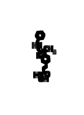 Cn1c(CNCc2ccccc2)nc2cc(C=CC(=O)NO)ccc21